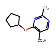 Cc1ncc(C(=O)O)c(OC2CCCC2)n1